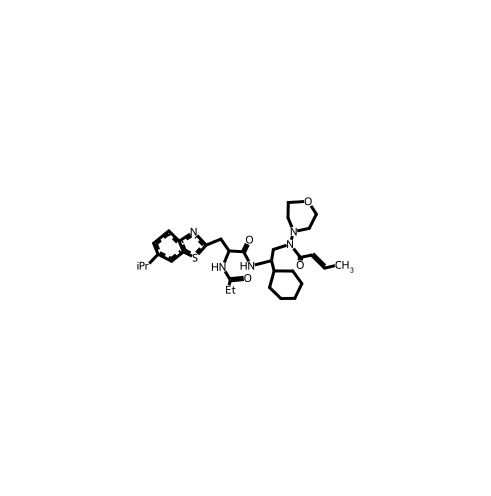 C/C=C/C(=O)N(CC(NC(=O)C(Cc1nc2ccc(C(C)C)cc2s1)NC(=O)CC)C1CCCCC1)N1CCOCC1